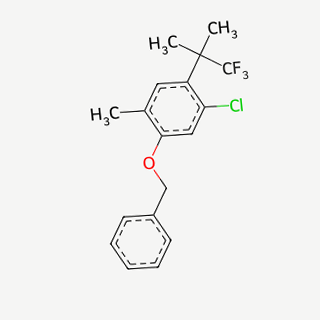 Cc1cc(C(C)(C)C(F)(F)F)c(Cl)cc1OCc1ccccc1